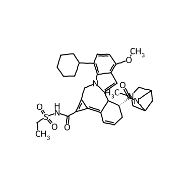 CCS(=O)(=O)NC(=O)C1=C2Cn3c(cc4c(OC)ccc(C5CCCCC5)c43)C3C(=C21)C=CC[C@H]3C(=O)N1C2CC1CN(C)C2